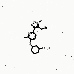 Cc1nc(-c2nnn(C)c2CBr)ccc1OC1CCCC(C(=O)O)C1